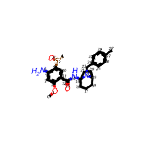 COc1cc(N)c([S+](C)[O-])cc1C(=O)NC12CCCC(CC1)N2Cc1ccc(C)cc1